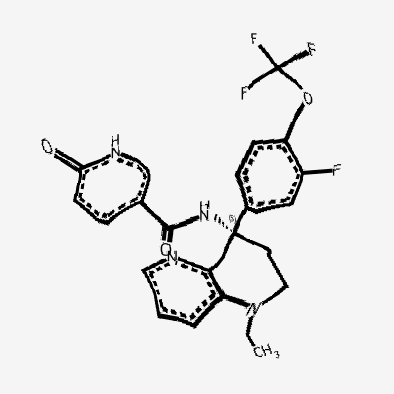 CN1CC[C@](NC(=O)c2ccc(=O)[nH]c2)(c2ccc(OC(F)(F)F)c(F)c2)c2ncccc21